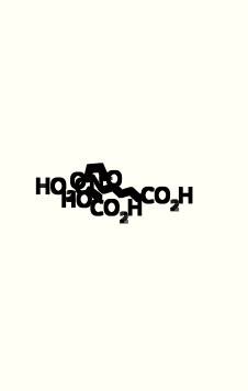 O=C(O)CCCCC[N+]1(C(O)(CC(=O)O)C(=O)O)C(=O)C=CC1=O